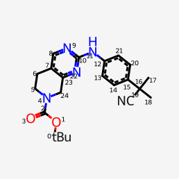 CC(C)(C)OC(=O)N1CCc2cnc(Nc3ccc(C(C)(C)C#N)cc3)nc2C1